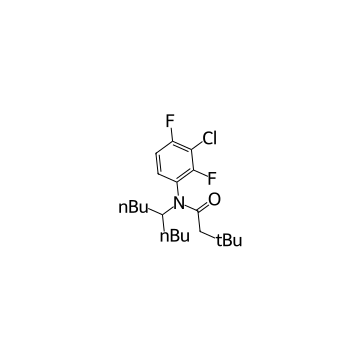 CCCCC(CCCC)N(C(=O)CC(C)(C)C)c1ccc(F)c(Cl)c1F